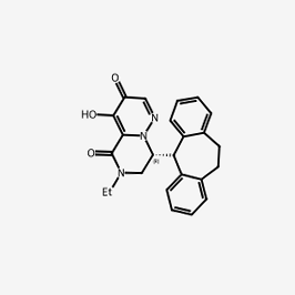 CCN1C[C@@H](C2c3ccccc3CCc3ccccc32)n2ncc(=O)c(O)c2C1=O